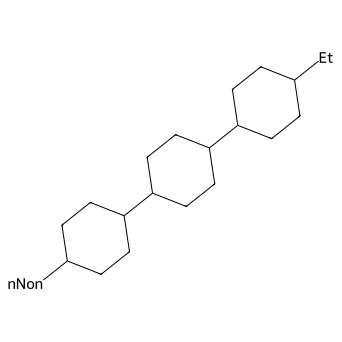 CCCCCCCCCC1CCC(C2CCC(C3CCC(CC)CC3)CC2)CC1